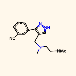 CNCCN(C)Cc1c[nH]nc1-c1cccc(C#N)c1